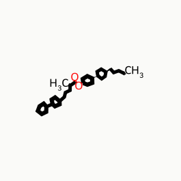 CCCCC[C@H]1CC[C@H](c2ccc(OC(=O)C(C)CCCc3ccc(-c4ccccc4)cc3)cc2)CC1